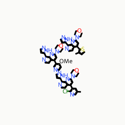 COc1ccncc1-c1cc(N2CCOCC2)nc2c(-c3ccn[nH]3)nccc12.Cc1ccsc1-c1cc(N2CCOCC2)nc2c(-c3ccn[nH]3)nccc12.Cc1cnc(Cl)c(-c2cc(N3CCOCC3)nc3c(-c4ccn[nH]4)nccc23)c1